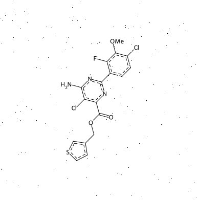 COc1c(Cl)ccc(-c2nc(N)c(Cl)c(C(=O)OCc3ccsc3)n2)c1F